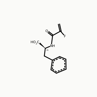 C=C(F)C(=O)N[C@@H](Cc1ccccc1)C(=O)O